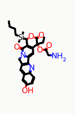 CCCC[Si](C)(C)C1OC(=O)C(CC)(OC(=O)CN)c2cc3n(c(=O)c21)Cc1cc2cc(O)ccc2nc1-3